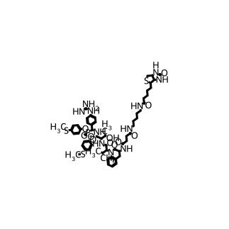 CSc1ccc(OP(=O)(Oc2ccc(SC)cc2)C(NC(=O)C(NC(=O)C(NC(=O)C(Cc2ccccc2)NC(=O)CCC(=O)NCCCCCNC(=O)CCCCC2SCC3NC(=O)NC32)C(C)C)C(C)O)c2ccc(NC(=N)N)cc2)cc1